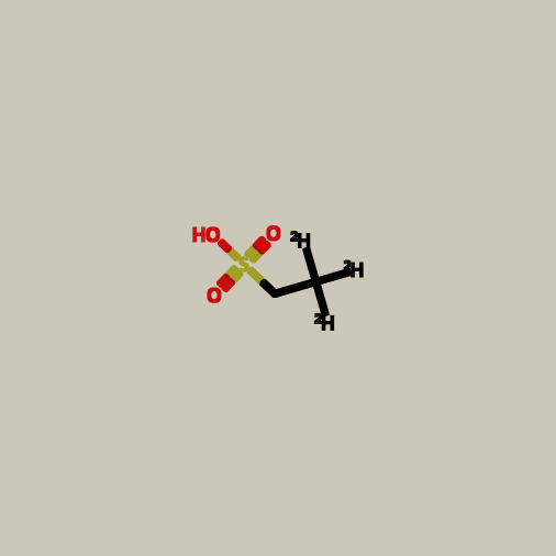 [2H]C([2H])([2H])CS(=O)(=O)O